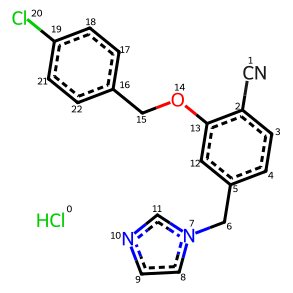 Cl.N#Cc1ccc(Cn2ccnc2)cc1OCc1ccc(Cl)cc1